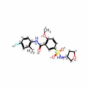 COc1ccc(S(=O)(=O)N[C@H]2CCOC2)cc1C(=O)Nc1ccc(F)cc1C